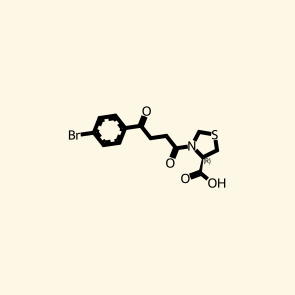 O=C(CCC(=O)N1CSC[C@H]1C(=O)O)c1ccc(Br)cc1